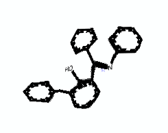 Oc1c(/C(=N/c2ccccc2)c2ccccc2)cccc1-c1ccccc1